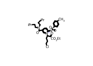 CCOC(=O)C(=O)C(CCCCl)n1cc(C(=O)N(CCC(C)C)CCC(C)C)cc/c1=N\S(=O)(=O)c1ccc(C)cc1